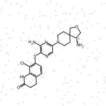 Nc1nc(N2CCC3(CC2)COC[C@H]3N)cnc1Sc1ccc2c(c1Cl)NC(=O)CC2